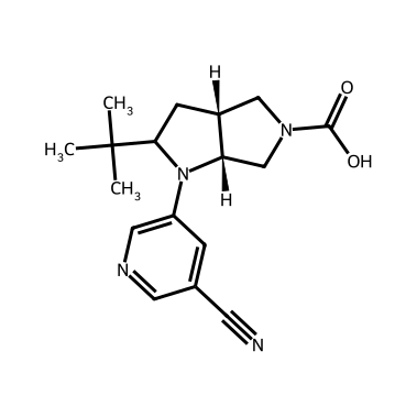 CC(C)(C)C1C[C@@H]2CN(C(=O)O)C[C@@H]2N1c1cncc(C#N)c1